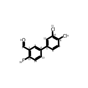 O=Cc1cc(-c2ccc(Cl)c(Cl)c2)ccc1F